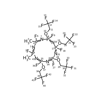 CP1(F)=NP(C)(F)=NP(F)(OCC(F)(F)F)=NP(F)(OCC(F)(F)F)=NP(F)(OCC(F)(F)F)=NP(F)(OCC(F)(F)F)=N1